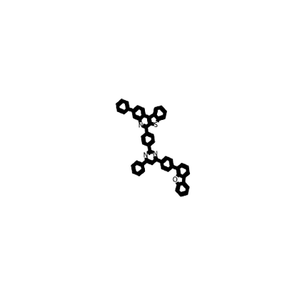 c1ccc(-c2ccc3c(c2)nc(-c2ccc(-c4nc(-c5ccccc5)cc(-c5ccc(-c6cccc7c6oc6ccccc67)cc5)n4)cc2)c2sc4ccccc4c23)cc1